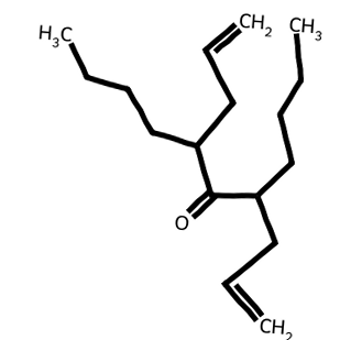 C=CCC(CCCC)C(=O)C(CC=C)CCCC